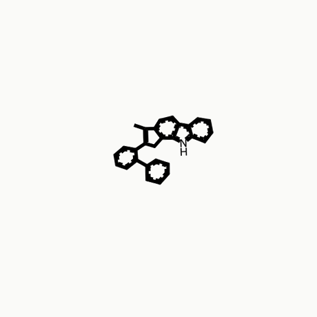 CC1=C(c2ccccc2-c2ccccc2)Cc2c1ccc1c2[nH]c2ccccc21